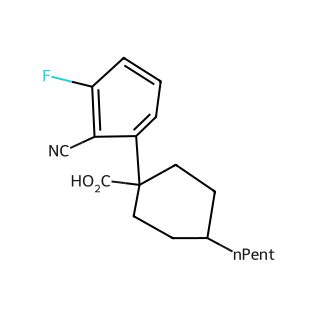 CCCCCC1CCC(C(=O)O)(c2cccc(F)c2C#N)CC1